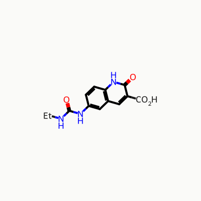 CCNC(=O)Nc1ccc2[nH]c(=O)c(C(=O)O)cc2c1